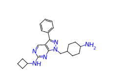 NC1CCC(Cn2nc(-c3ccccc3)c3cnc(NC4CCC4)nc32)CC1